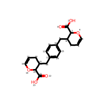 O=C(O)C1OC=CCC1Cc1ccc(CC2CC=COC2C(=O)O)cc1